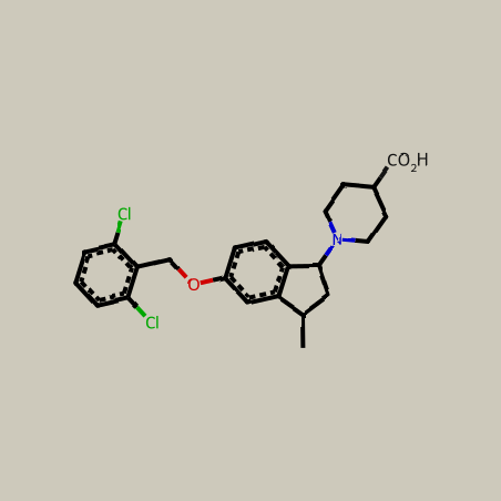 CC1CC(N2CCC(C(=O)O)CC2)c2ccc(OCc3c(Cl)cccc3Cl)cc21